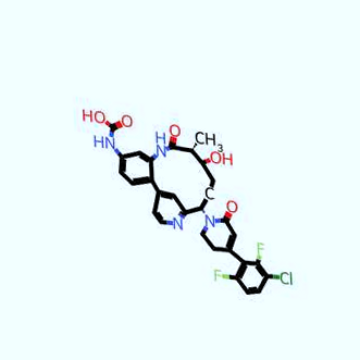 C[C@H]1C(=O)Nc2cc(NC(=O)O)ccc2-c2ccnc(c2)[C@@H](N2CCC(c3c(F)ccc(Cl)c3F)=CC2=O)CCC1O